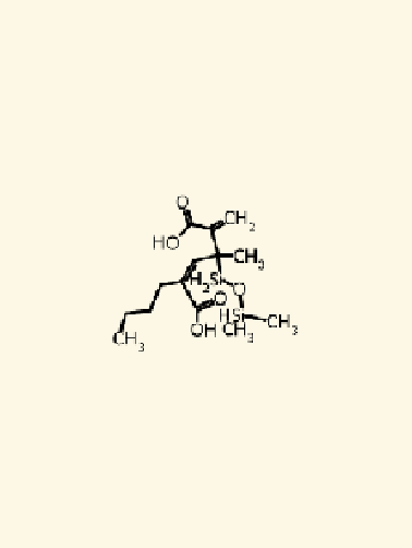 C=C(C(=O)O)C(C)(C=C(CCCC)C(=O)O)[SiH2]O[SiH](C)C